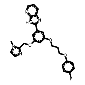 Cn1ccnc1COc1cc(OCCCOc2ccc(F)cc2)cc(-c2nc3cccnc3[nH]2)c1